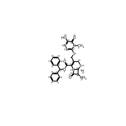 Cn1c(SCC2=C(C(=O)OC(c3ccccc3)c3ccccc3)N3C(=O)C(N)[C@@H]3SC2)nnc(O)c1=O